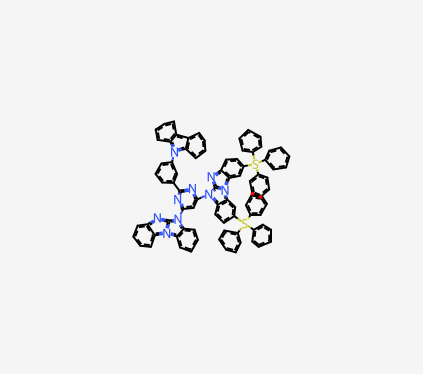 c1ccc(S(c2ccccc2)(c2ccccc2)c2ccc3nc4n(-c5cc(-n6c7ccccc7n7c8ccccc8nc67)nc(-c6cccc(-n7c8ccccc8c8ccccc87)c6)n5)c5ccc(S(c6ccccc6)(c6ccccc6)c6ccccc6)cc5n4c3c2)cc1